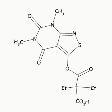 CCC(CC)(C(=O)O)C(=O)Oc1snc2c1c(=O)n(C)c(=O)n2C